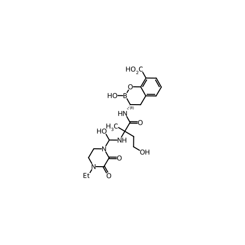 CCN1CCN(C(O)NC(C)(CCO)C(=O)N[C@H]2Cc3cccc(C(=O)O)c3OB2O)C(=O)C1=O